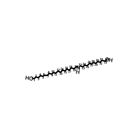 OCCCCCCCCCCCCCCCCCCCCNCCCCCCCCCCCCO